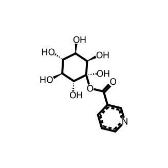 O=C(O[C@]1(O)[C@H](O)[C@H](O)[C@@H](O)[C@H](O)[C@H]1O)c1cccnc1